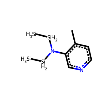 Cc1ccncc1N([SiH2][SiH3])[SiH2][SiH3]